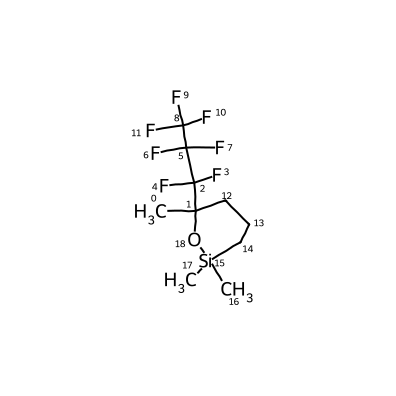 CC1(C(F)(F)C(F)(F)C(F)(F)F)CCC[Si](C)(C)O1